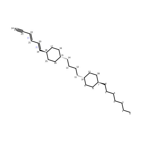 CCCCCCC[C@H]1CC[C@H](CCCC[C@H]2CC[C@H](/C=C/C=C/C#N)CC2)CC1